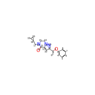 CC(Oc1ccccc1)c1cc2n(n1)CCN(CC1CC1)C2=O